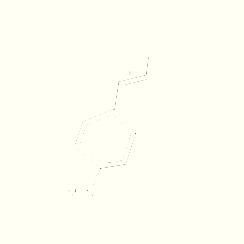 CNc1ccc(/C=C/C(=O)O)cc1